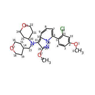 COc1ccc(-c2cccc3c(N(CC4CCOCC4)C4CCOCC4)c(OC)nn23)c(Cl)c1